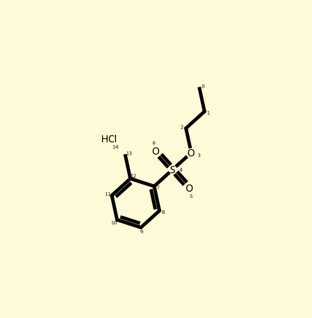 CCCOS(=O)(=O)c1ccccc1C.Cl